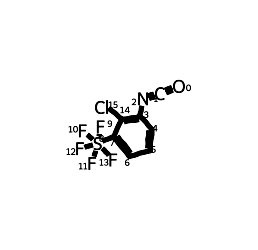 O=C=Nc1cccc(S(F)(F)(F)(F)F)c1Cl